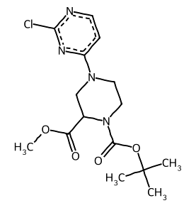 COC(=O)C1CN(c2ccnc(Cl)n2)CCN1C(=O)OC(C)(C)C